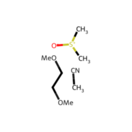 CC#N.COCCOC.C[S+](C)[O-]